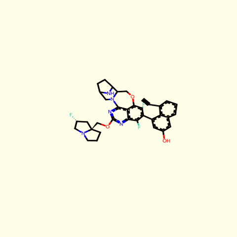 C#Cc1cccc2cc(O)cc(-c3c(F)c4c5c(nc(OC[C@@]67CCCN6C[C@H](F)C7)nc5c3F)N3CC5CCC(N5)C3CO4)c12